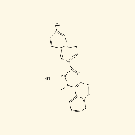 CC(NC(=O)c1ccc2cc(C(C)(C)C)ccc2n1)c1ccnc2ccccc12.Cl